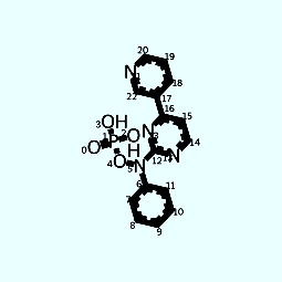 O=P(O)(O)ON(c1ccccc1)c1nccc(-c2cccnc2)n1